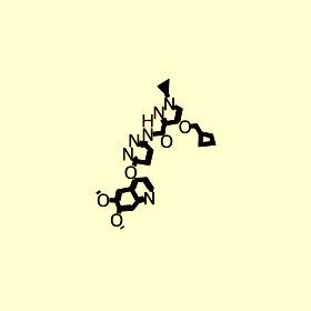 COc1cc2nccc(Oc3ccc(NC(=O)c4nn(C5CC5)cc4OCC4CCC4)nn3)c2cc1OC